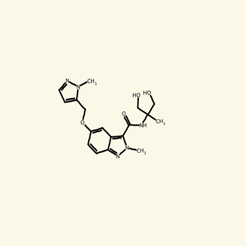 Cn1nccc1COc1ccc2nn(C)c(C(=O)NC(C)(CO)CO)c2c1